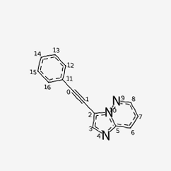 C(#Cc1cnc2cccnn12)c1ccccc1